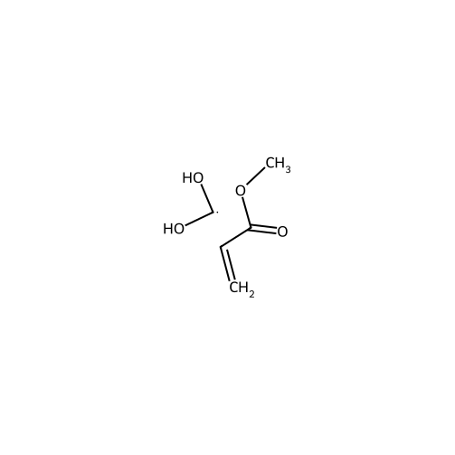 C=CC(=O)OC.O[CH]O